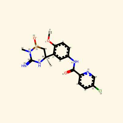 CCOc1ccc(NC(=O)c2ccc(Cl)cn2)cc1[C@]1(C)C[S+]([O-])N(C)C(=N)N1